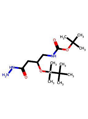 CC(C)(C)OC(=O)NCC(CC(=O)NN)O[Si](C)(C)C(C)(C)C